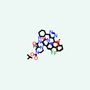 COc1cccc(F)c1-c1nc2c(cc1F)c1c(c(=O)n2-c2c(C3CCCCC3)ncnc2C2CCCCC2)NC(=O)[C@H]2CN(C(=O)OC(C)(C)C)CCN12